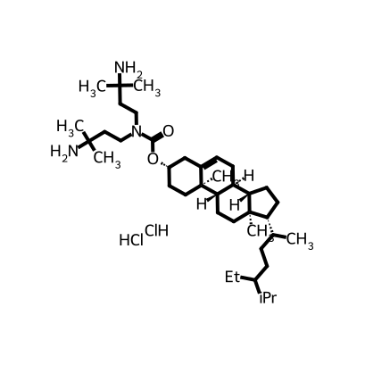 CCC(CCC(C)[C@H]1CC[C@H]2[C@@H]3CC=C4C[C@@H](OC(=O)N(CCC(C)(C)N)CCC(C)(C)N)CC[C@]4(C)[C@H]3CC[C@]12C)C(C)C.Cl.Cl